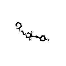 Brc1ccc(C#C[C@H]2[C@H]3CN(CCOC4CCCCO4)C[C@@H]23)cc1